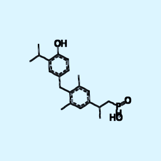 Cc1cc(C(C)C[PH](=O)O)cc(C)c1Cc1ccc(O)c(C(C)C)c1